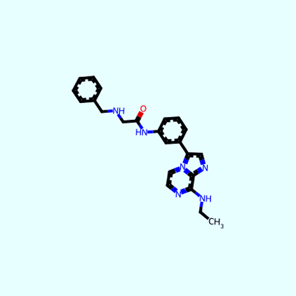 CCNc1nccn2c(-c3cccc(NC(=O)CNCc4ccccc4)c3)cnc12